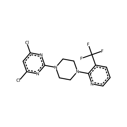 FC(F)(F)c1cccnc1N1CCN(c2nc(Cl)cc(Cl)n2)CC1